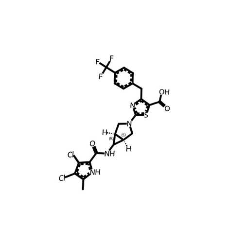 Cc1[nH]c(C(=O)NC2[C@H]3CN(c4nc(Cc5ccc(C(F)(F)F)cc5)c(C(=O)O)s4)C[C@@H]23)c(Cl)c1Cl